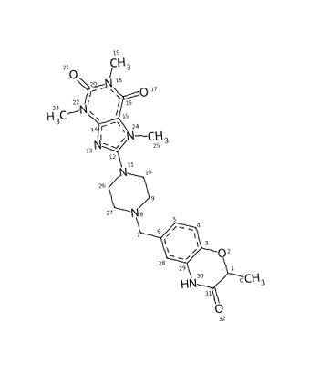 CC1Oc2ccc(CN3CCN(c4nc5c(c(=O)n(C)c(=O)n5C)n4C)CC3)cc2NC1=O